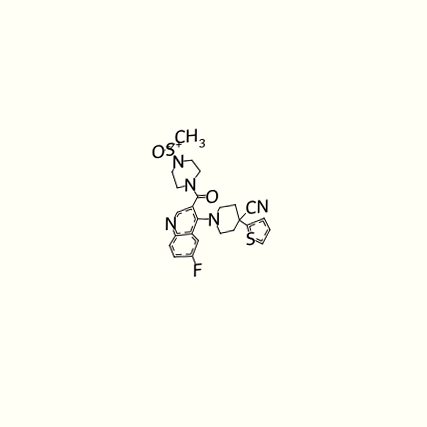 C[S+]([O-])N1CCN(C(=O)c2cnc3ccc(F)cc3c2N2CCC(C#N)(c3cccs3)CC2)CC1